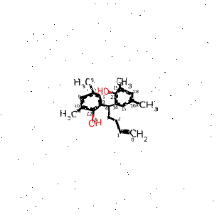 C=CCCC(c1cc(C)cc(C)c1O)c1cc(C)cc(C)c1O